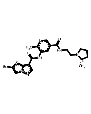 Cc1ncc(C(=O)NCCN2CCC[C@@H]2C)cc1NC(=O)c1cnn2cc(Br)sc12